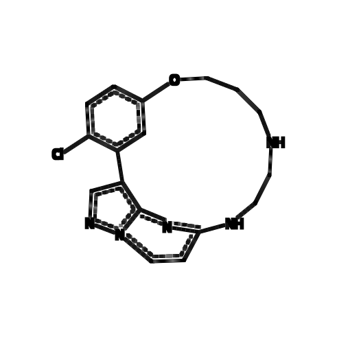 Clc1ccc2cc1-c1cnn3ccc(nc13)NCCNCCCO2